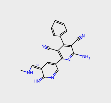 CN/C=C1/C=C(c2nc(N)c(C#N)c(-c3ccccc3)c2C#N)C=NC1=N